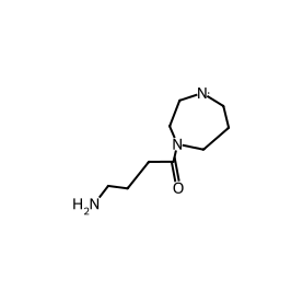 NCCCC(=O)N1CCC[N]CC1